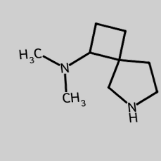 CN(C)C1CCC12CCNC2